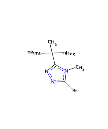 CCCCCCC(C)(CCCCC)c1nnc(Br)n1C